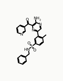 Cc1ccc(S(=O)(=O)NCc2ccccc2)cc1-c1cnc(N)c(C(=O)c2cccnc2)n1